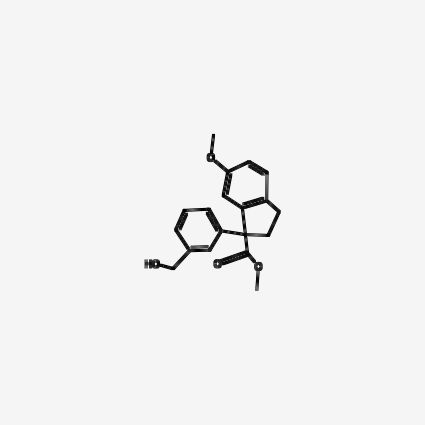 COC(=O)C1(c2cccc(CO)c2)CCc2ccc(OC)cc21